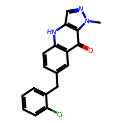 Cn1ncc2[nH]c3ccc(Cc4ccccc4Cl)cc3c(=O)c21